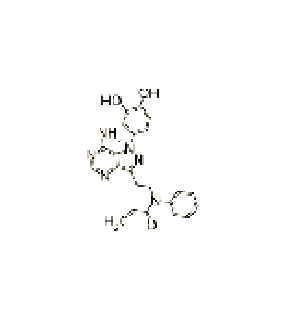 C=CC(=O)N(CCc1nn(-c2ccc(O)c(O)c2)c2c(N)ncnc12)c1ccccc1